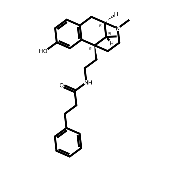 C[C@H]1[C@H]2Cc3ccc(O)cc3[C@@]1(CCNC(=O)CCc1ccccc1)CCN2C